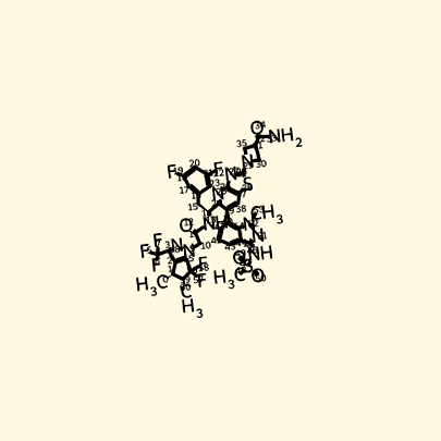 C[C@@H]1c2c(C(F)(F)F)nn(CC(=O)N[C@@H](Cc3cc(F)cc(F)c3)c3nc4nc(N5CC(C(N)=O)C5)sc4cc3-c3cccc4c(NS(C)(=O)=O)nn(C)c34)c2C(F)(F)[C@@H]1C